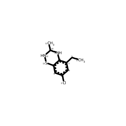 CCc1cc(Cl)cc2c1NC(C)NS2